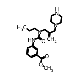 C=C(CN1CCNCC1)CN(CCC)C(=O)Nc1cccc(C(=O)OC)c1